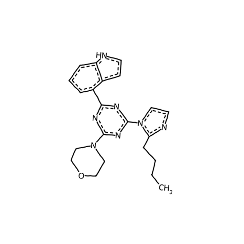 CCCCc1nccn1-c1nc(-c2cccc3[nH]ccc23)nc(N2CCOCC2)n1